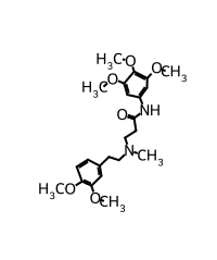 COc1ccc(CCN(C)CCC(=O)Nc2cc(OC)c(OC)c(OC)c2)cc1OC